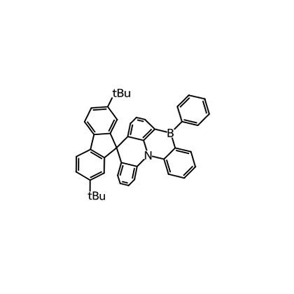 CC(C)(C)c1ccc2c(c1)C1(c3cc(C(C)(C)C)ccc3-2)c2ccccc2N2c3ccccc3B(c3ccccc3)c3cccc1c32